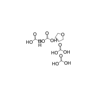 C1=CCOC1.O=C(O)O.O=C(O)O.O=C(O)O.O=C(O)O